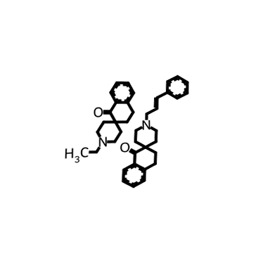 CCN1CCC2(CCc3ccccc3C2=O)CC1.O=C1c2ccccc2CCC12CCN(C/C=C/c1ccccc1)CC2